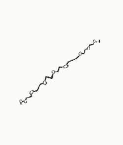 COOCCOCCOCCOCCOCCOCCOCCO